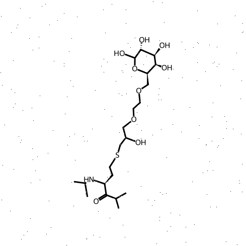 CC(C)N[C@@H](CCSCC(O)COCCOC[C@H]1OC(O)[C@H](O)[C@@H](O)[C@H]1O)C(=O)C(C)C